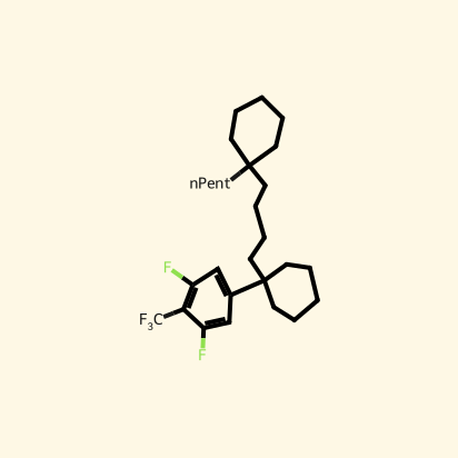 CCCCCC1(CCCCC2(c3cc(F)c(C(F)(F)F)c(F)c3)CCCCC2)CCCCC1